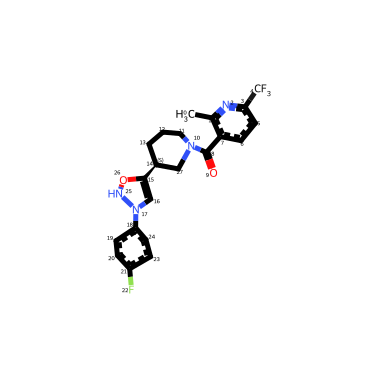 Cc1nc(C(F)(F)F)ccc1C(=O)N1CCC[C@H](C2=CN(c3ccc(F)cc3)NO2)C1